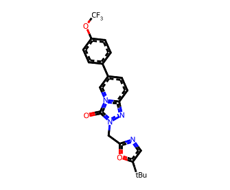 CC(C)(C)c1cnc(Cn2nc3ccc(-c4ccc(OC(F)(F)F)cc4)cn3c2=O)o1